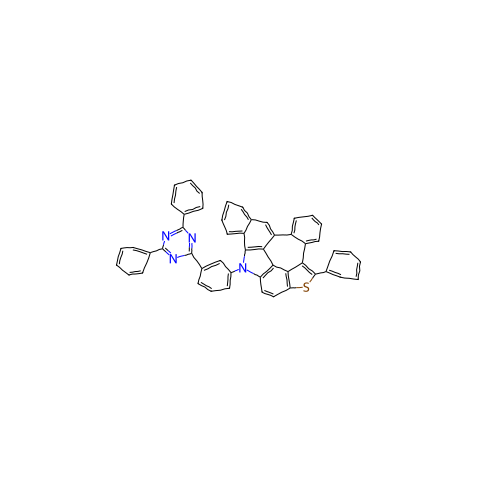 c1ccc(-c2nc(-c3ccccc3)nc(-c3cccc(-n4c5ccc6sc(-c7ccccc7)c7c6c5c5c(cc6ccccc6c54)-c4ccccc4-7)c3)n2)cc1